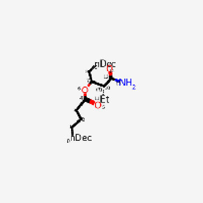 CCCCCCCCCCCCCC(=O)OC(CCCCCCCCCCC)[C@@H](CC)C(N)=O